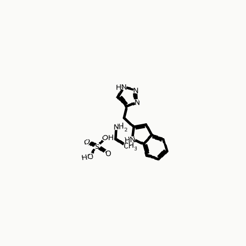 CCN.O=S(=O)(O)O.c1ccc2[nH]c(Cc3c[nH]nn3)cc2c1